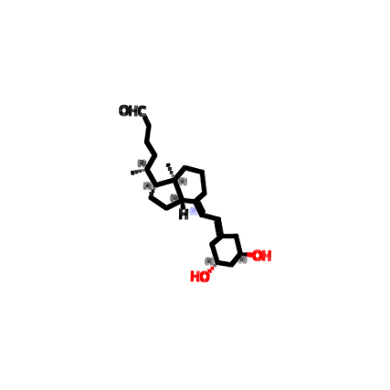 C[C@H](CCCC=O)[C@H]1CC[C@H]2/C(=C/C=C3C[C@@H](O)C[C@H](O)C3)CCC[C@]12C